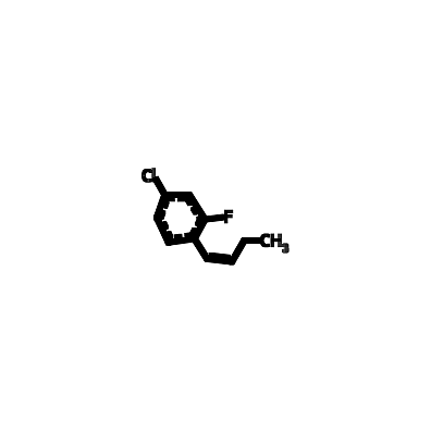 CC/C=C\c1ccc(Cl)cc1F